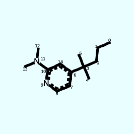 CCCC(C)(C)c1ccnc(N(C)C)c1